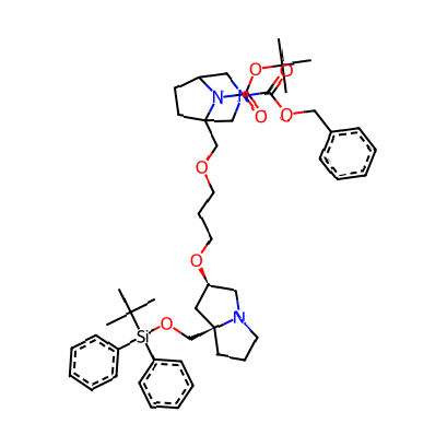 CC(C)(C)OC(=O)N1C2CCC1(COCCCO[C@H]1CN3CCC[C@]3(CO[Si](c3ccccc3)(c3ccccc3)C(C)(C)C)C1)CN(C(=O)OCc1ccccc1)C2